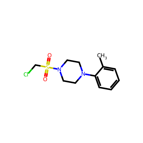 Cc1ccccc1N1CCN(S(=O)(=O)CCl)CC1